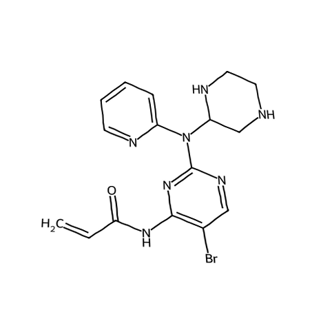 C=CC(=O)Nc1nc(N(c2ccccn2)C2CNCCN2)ncc1Br